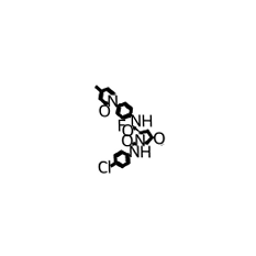 CO[C@@H]1C[C@H](C(=O)Nc2ccc(-n3ccc(C)cc3=O)cc2F)N(C(=O)Nc2ccc(Cl)cc2)C1